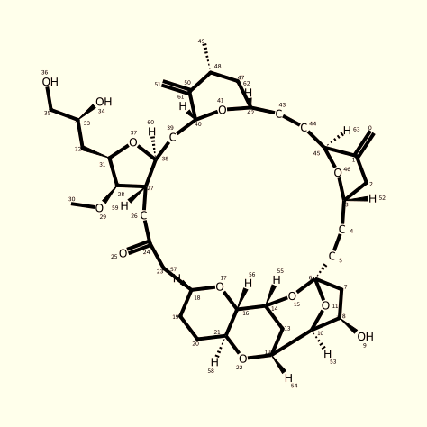 C=C1C[C@@H]2CC[C@]34C[C@@H](O)[C@H](O3)[C@H]3C[C@@H](O4)[C@H]4O[C@H](CC[C@@H]4O3)CC(=O)C[C@@H]3[C@@H](OC)[C@@H](C[C@H](O)CO)O[C@H]3C[C@H]3O[C@@H](CC[C@@H]1O2)C[C@@H](C)C3=C